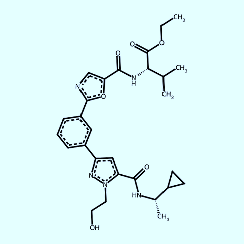 CCOC(=O)[C@@H](NC(=O)c1cnc(-c2cccc(-c3cc(C(=O)N[C@@H](C)C4CC4)n(CCO)n3)c2)o1)C(C)C